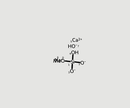 CO[Si]([O-])([O-])O.[Ca+2].[Na+].[OH-]